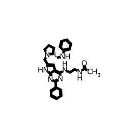 CC(=O)NCCNc1nc(-c2ccccc2)nc2[nH]c(CN3CCC[C@@H]3CNc3ccccc3)cc12